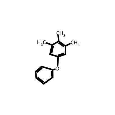 Cc1cc(Oc2[c]cccc2)cc(C)c1C